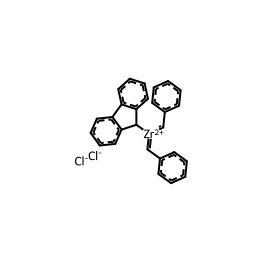 [CH](/c1ccccc1)=[Zr+2](=[CH]\c1ccccc1)\[CH]1c2ccccc2-c2ccccc21.[Cl-].[Cl-]